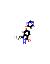 CC1NC(=O)c2ccc(Oc3ccncn3)cc21